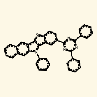 c1ccc(-c2nc(-c3ccccc3)nc(-c3ccc4sc5c6cc7ccccc7cc6n(-c6ccccc6)c5c4c3)n2)cc1